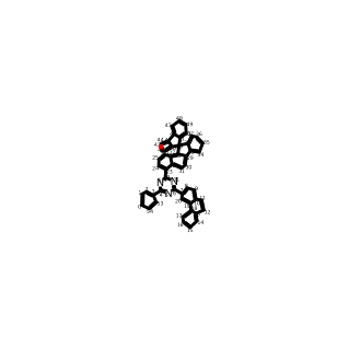 c1ccc(-c2nc(-c3ccc4ccc5ccccc5c4c3)nc(-c3cccc4c5c(ccc34)-c3ccccc3C53c4ccccc4-c4ccccc43)n2)cc1